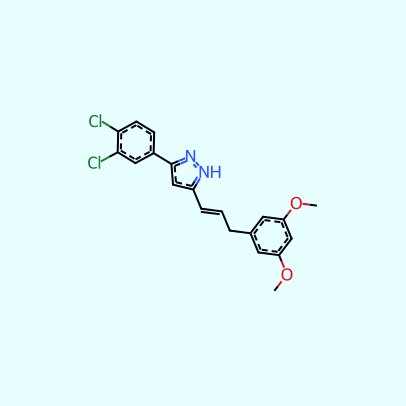 COc1cc(CC=Cc2cc(-c3ccc(Cl)c(Cl)c3)n[nH]2)cc(OC)c1